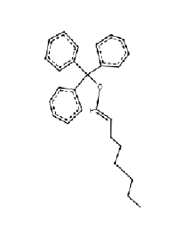 CCCCCCC=C(I)OC(c1ccccc1)(c1ccccc1)c1ccccc1